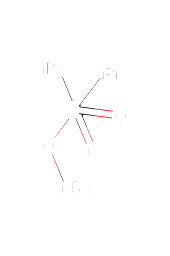 CCCC[O][Ti](=[O])(=[O])([CH](C)C)[CH](C)C